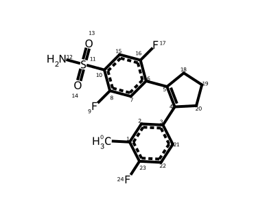 Cc1cc(C2=C(c3cc(F)c(S(N)(=O)=O)cc3F)CCC2)ccc1F